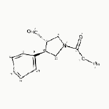 CC(C)(C)OC(=O)N1C[C@@H](C=O)[C@H](c2ccncc2)C1